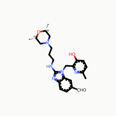 Cc1ccc(O)c(Cn2c(NCCCN3C[C@@H](C)O[C@@H](C)C3)nc3ccc(C=O)cc32)n1